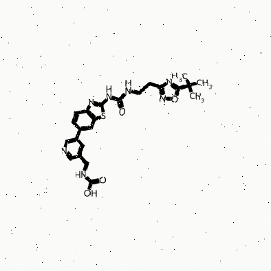 CC(C)(C)c1nc(CCNC(=O)Nc2nc3ccc(-c4cncc(CNC(=O)O)c4)cc3s2)no1